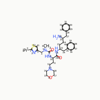 CC(C)c1nc(CN(C)C(=O)NC(CCN2CCOCC2)C(=O)NC(CCC(N)Cc2ccccc2)Cc2ccccc2)cs1